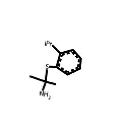 CC(C)c1ccccc1SC(C)(C)N